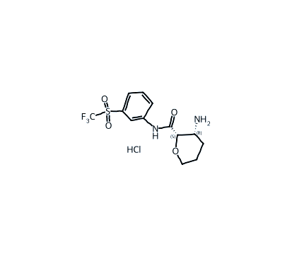 Cl.N[C@@H]1CCCO[C@@H]1C(=O)Nc1cccc(S(=O)(=O)C(F)(F)F)c1